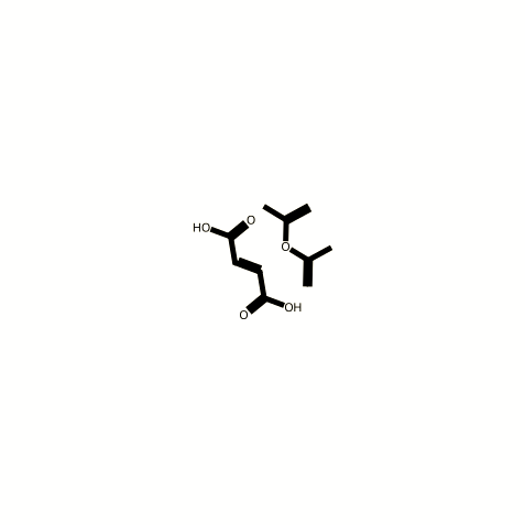 C=C(C)OC(=C)C.O=C(O)C=CC(=O)O